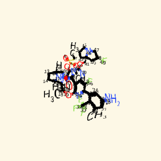 CC[C@@H](OS(=O)(=O)CC)C(=O)N1[C@@H]2CC[C@H]1[C@H]1[C@H](C)Oc3nc(-c4cc(N)cc(C)c4C(F)(F)F)c(F)c4nc(OC[C@@]56CCCN5C[C@H](F)C6)nc(c34)N1C2